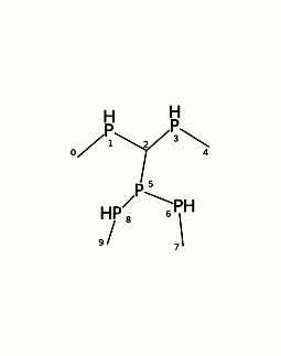 CPC(PC)P(PC)PC